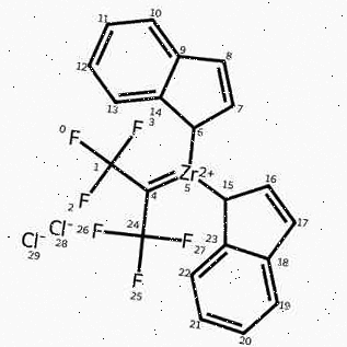 FC(F)(F)[C](=[Zr+2]([CH]1C=Cc2ccccc21)[CH]1C=Cc2ccccc21)C(F)(F)F.[Cl-].[Cl-]